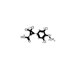 COc1c(Cl)cc([C@@H]2[C@@H](C(=O)O)C2(Cl)Cl)cc1Cl